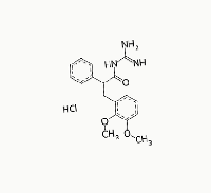 COc1cccc(CC(C(=O)NC(=N)N)c2ccccc2)c1OC.Cl